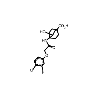 O=C(COc1ccc(Cl)c(F)c1)NC12CCC(C(=O)O)(CC1)CC2O